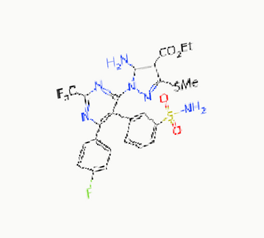 CCOC(=O)c1c(SC)nn(-c2nc(C(F)(F)F)nc(-c3ccc(F)cc3)c2-c2cccc(S(N)(=O)=O)c2)c1N